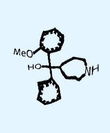 COc1ccccc1C(O)(c1ccccc1)C1CCNCC1